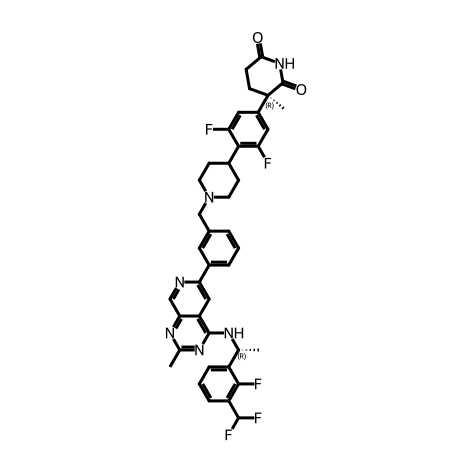 Cc1nc(N[C@H](C)c2cccc(C(F)F)c2F)c2cc(-c3cccc(CN4CCC(c5c(F)cc([C@@]6(C)CCC(=O)NC6=O)cc5F)CC4)c3)ncc2n1